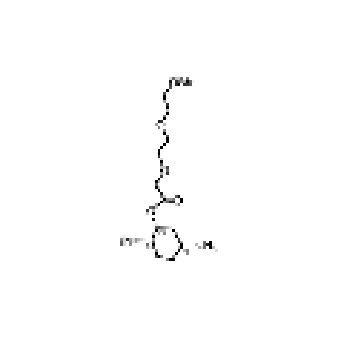 COCCOCCOCC(=O)O[C@@H]1C[C@H](C)CC[C@H]1C(C)C